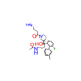 CNCCCC(=O)N1CCC[C@@H]([C@@](O)(CCCNC(C)=O)c2cccc(F)c2-c2cccc(C)c2)C1